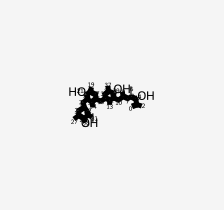 C=C(C)/C(O)=C(I)\C=C(/C)Cc1c(C)c(Cc2cc(C)c(O)c(Cc3cc(C)c(O)c(I)c3)c2C)cc(C)c1O